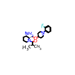 CC(C)C(=O)N1CCC[C@H](N)[C@@H]1COC1CCN(c2ccccc2F)CC1